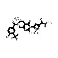 CNC(=O)c1cc(-n2c(O)nc3c(c2=O)C[C@@H](C)N(C(=O)c2ccc(Cl)c(C(F)(F)F)c2)C3)n(C)n1